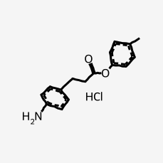 Cc1ccc(OC(=O)CCc2ccc(N)cc2)cc1.Cl